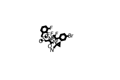 N#CC1(N(C(=O)[C@@H](N)CS(=O)(=O)Cc2cccc(F)c2F)[C@@H](c2ccc(Br)cc2)C(F)(F)F)CC1